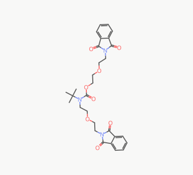 CC(C)(C)N(CCOCCN1C(=O)c2ccccc2C1=O)C(=O)OCCOCCN1C(=O)c2ccccc2C1=O